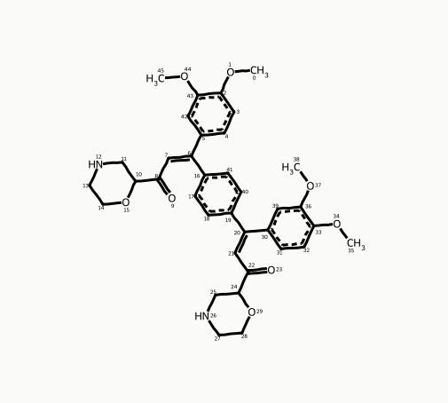 COc1ccc(C(=CC(=O)C2CNCCO2)c2ccc(C(=CC(=O)C3CNCCO3)c3ccc(OC)c(OC)c3)cc2)cc1OC